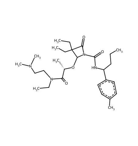 CCCC(NC(=O)N1C(=O)C(CC)(CC)C1O[C@@H](C)C(=O)N(CC)CCN(C)C)c1ccc(C)cc1